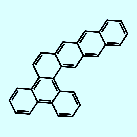 c1ccc2cc3cc4c(ccc5c6ccccc6c6ccccc6c45)cc3cc2c1